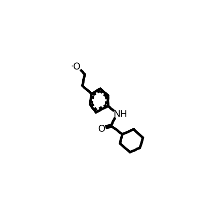 [O]CCc1ccc(NC(=O)C2CCCCC2)cc1